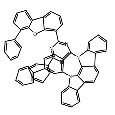 c1ccc(-c2cccc(-n3c4ccccc4c4ccc5c6ccccc6n(-c6nc(-c7ccccc7)nc(-c7cccc8c7oc7c(-c9ccccc9)cccc78)n6)c5c43)c2)cc1